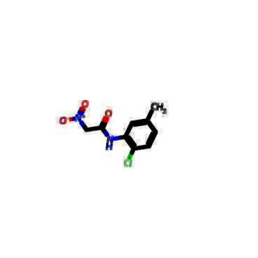 Cc1ccc(Cl)c(NC(=O)C[N+](=O)[O-])c1